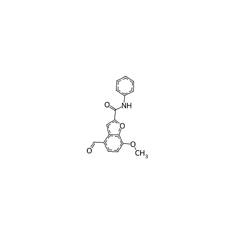 COc1ccc(C=O)c2cc(C(=O)Nc3ccccc3)oc12